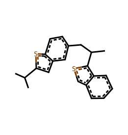 CC(C)c1cc2cc(CC(C)c3scc4ccccc34)ccc2s1